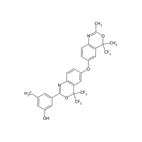 CC1=Nc2ccc(Oc3ccc4c(c3)C(C(F)(F)F)(C(F)(F)F)OC(c3cc(C)cc(O)c3)=N4)cc2C(C)(C(F)(F)F)O1